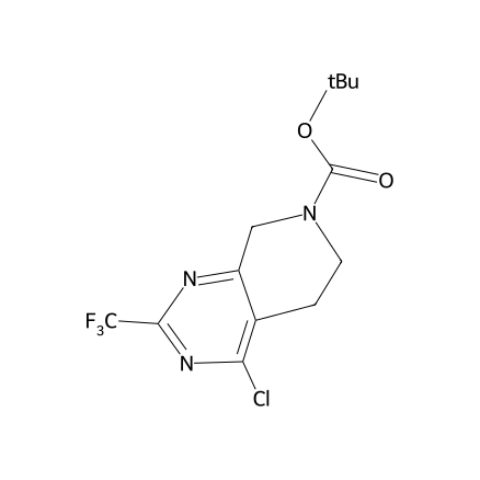 CC(C)(C)OC(=O)N1CCc2c(Cl)nc(C(F)(F)F)nc2C1